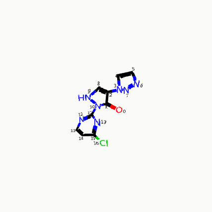 O=c1c(-n2ccnn2)c[nH]n1-c1nccc(Cl)n1